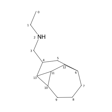 CCNCC1CC2CCCC3C(C2)C13